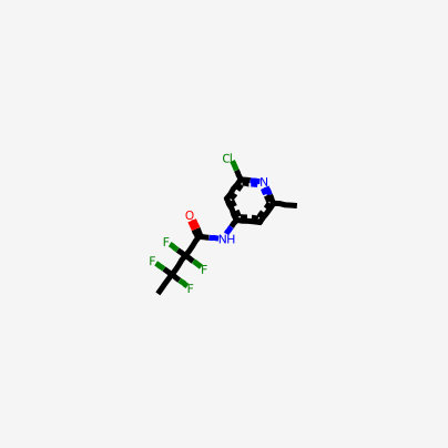 Cc1cc(NC(=O)C(F)(F)C(C)(F)F)cc(Cl)n1